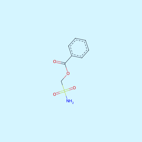 NS(=O)(=O)COC(=O)c1ccccc1